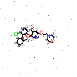 O=Cc1cc(OCCN2CCOCC2)ncc1OCC1=C(c2cccnc2Cl)CCCC1